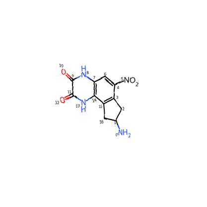 NC1Cc2c([N+](=O)[O-])cc3[nH]c(=O)c(=O)[nH]c3c2C1